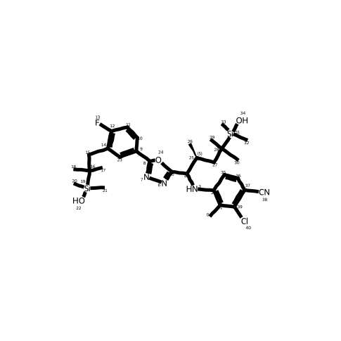 Cc1c(NC(c2nnc(-c3ccc(F)c(CC(C)(C)[Si](C)(C)O)c3)o2)[C@@H](C)CC(C)(C)[Si](C)(C)O)ccc(C#N)c1Cl